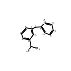 FC(F)c1cccc([CH]c2ccccn2)c1